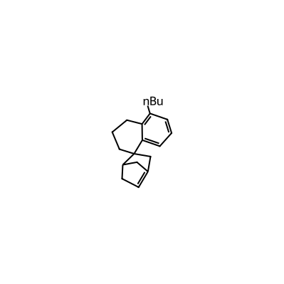 CCCCc1cccc2c1CCCC21CC2=CCC1C2